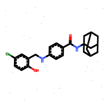 O=C(NC12CC3CC(CC(C3)C1)C2)c1ccc(NCc2cc(Cl)ccc2O)cc1